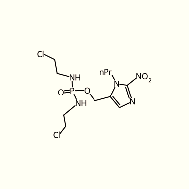 CCCn1c(COP(=O)(NCCCl)NCCCl)cnc1[N+](=O)[O-]